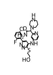 NC(=O)C(c1cc(Nc2cc(-c3cc(Cl)ccc3F)nnc2SCCO)ccn1)N1CCCNCC1